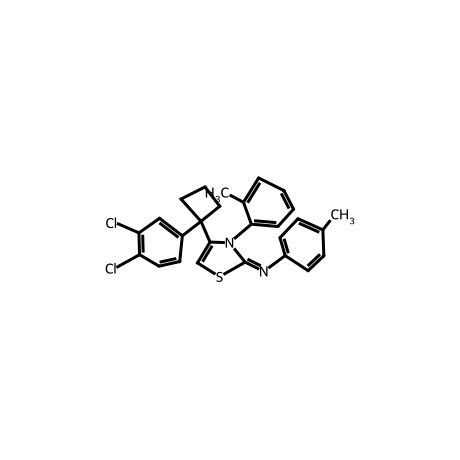 Cc1ccc(N=c2scc(C3(c4ccc(Cl)c(Cl)c4)CCC3)n2-c2ccccc2C)cc1